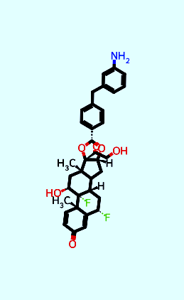 C[C@]12C=CC(=O)C=C1[C@@H](F)C[C@H]1C3C[C@H]4O[C@@H](c5ccc(Cc6cccc(N)c6)cc5)O[C@@]4(C(=O)CO)[C@@]3(C)C[C@H](O)[C@@]12F